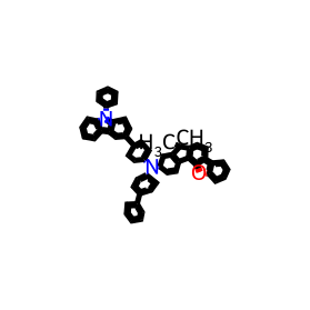 CC1(C)C2=C(C=CC(N(C3=CC=C(c4ccc5c(c4)c4ccccc4n5-c4ccccc4)CC3)c3ccc(-c4ccccc4)cc3)C2)c2c1ccc1c2oc2ccccc21